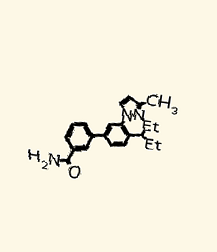 CCC(CC)c1ccc(-c2cccc(C(N)=O)c2)cc1-n1ccc(C)n1